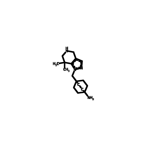 CC1(C)CNCc2cnn(CC34CCC(N)(CC3)CC4)c21